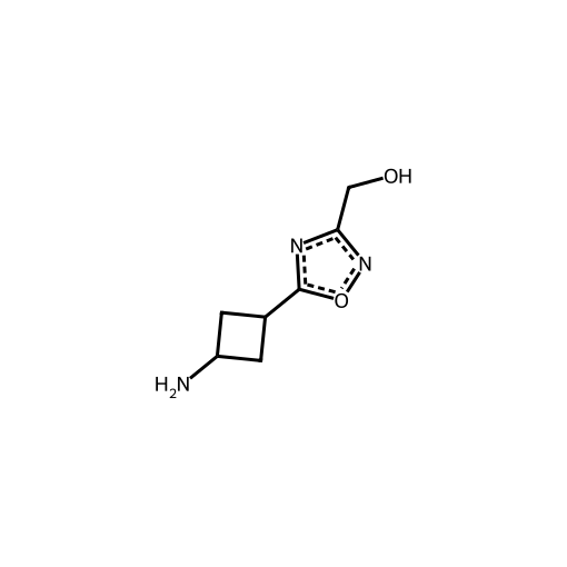 NC1CC(c2nc(CO)no2)C1